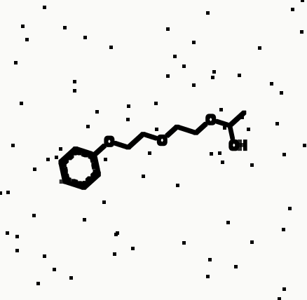 CC(O)OCCOCCOc1cc[c]cc1